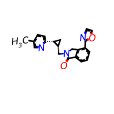 Cc1ccc([C@@H]2C[C@H]2CN2Cc3c(cccc3-c3ncco3)C2=O)nc1